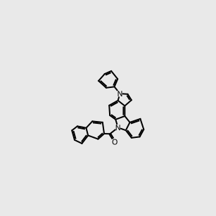 O=C(c1ccc2ccccc2c1)n1c2ccccc2c2c3ccn(-c4ccccc4)c3ccc21